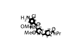 CCCC(=O)N1CCC(CN2CCC(NC(=O)c3cc(Cl)c(N)cc3OC)C(OC)C2)CC1